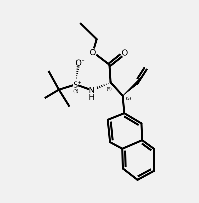 C=C[C@@H](c1ccc2ccccc2c1)[C@H](N[S@@+]([O-])C(C)(C)C)C(=O)OCC